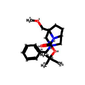 COCC12CCC(CN(Cc3ccccc3)C1)N2C(=O)OC(C)(C)C